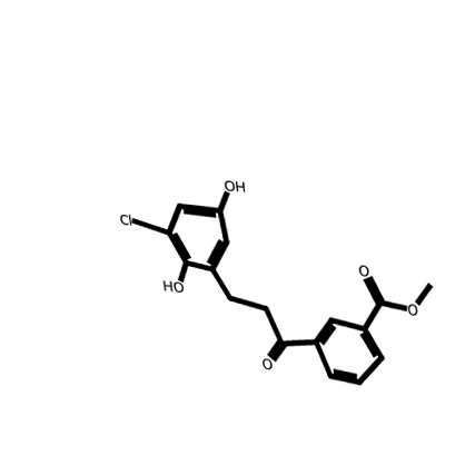 COC(=O)c1cccc(C(=O)CCc2cc(O)cc(Cl)c2O)c1